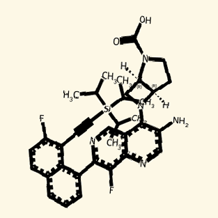 CC(C)[Si](C#Cc1c(F)ccc2cccc(-c3ncc4c(N5C[C@@H]6[C@H]5CCN6C(=O)O)c(N)cnc4c3F)c12)(C(C)C)C(C)C